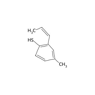 C/C=C\c1cc(C)ccc1S